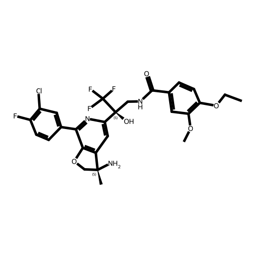 CCOc1ccc(C(=O)NC[C@](O)(c2cc3c(c(-c4ccc(F)c(Cl)c4)n2)OC[C@@]3(C)N)C(F)(F)F)cc1OC